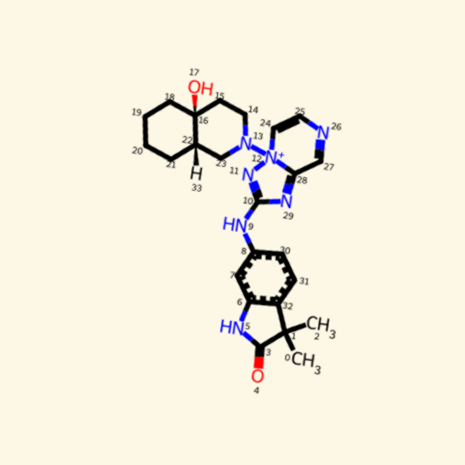 CC1(C)C(=O)Nc2cc(NC3=N[N+]4(N5CC[C@@]6(O)CCCC[C@H]6C5)C=CN=CC4=N3)ccc21